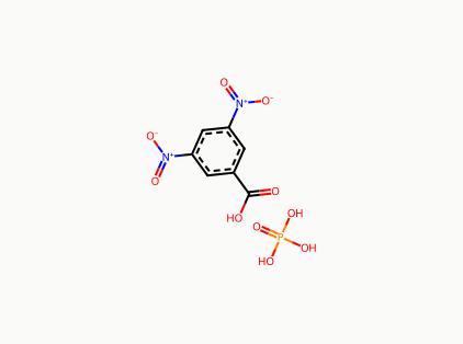 O=C(O)c1cc([N+](=O)[O-])cc([N+](=O)[O-])c1.O=P(O)(O)O